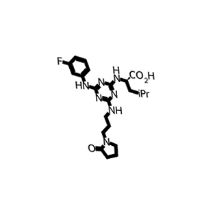 CC(C)C[C@H](Nc1nc(NCCCN2CCCC2=O)nc(Nc2cccc(F)c2)n1)C(=O)O